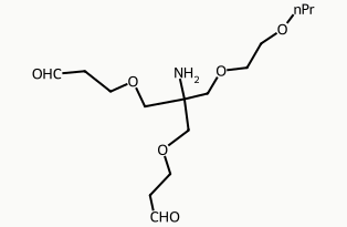 CCCOCCOCC(N)(COCCC=O)COCCC=O